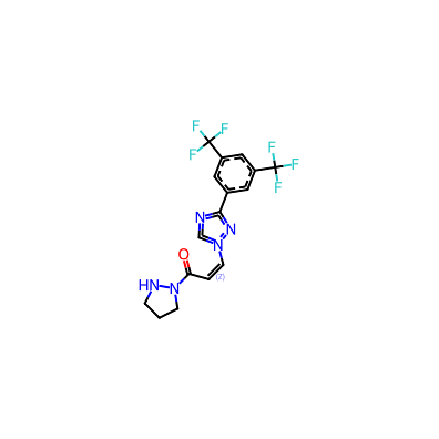 O=C(/C=C\n1cnc(-c2cc(C(F)(F)F)cc(C(F)(F)F)c2)n1)N1CCCN1